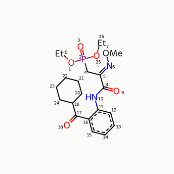 CCOP(=O)(C/C(=N\OC)C(=O)Nc1ccccc1C(=O)C1CCCCC1)OCC